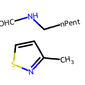 CCCCCCNC=O.Cc1ccsn1